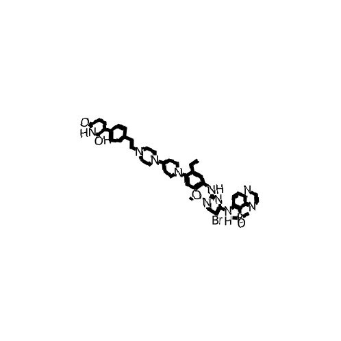 CCc1cc(Nc2ncc(Br)c(Nc3ccc4nccnc4c3P(C)(C)=O)n2)c(OC)cc1N1CCC(N2CCN(CCc3ccc(C4CCC(=O)NC4O)cc3)CC2)CC1